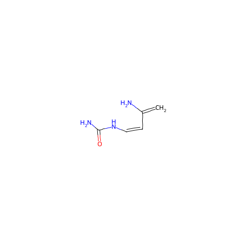 C=C(N)/C=C\NC(N)=O